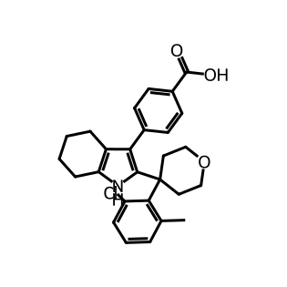 Cc1cccc(Cl)c1C1(c2[nH]c3c(c2-c2ccc(C(=O)O)cc2)CCCC3)CCOCC1